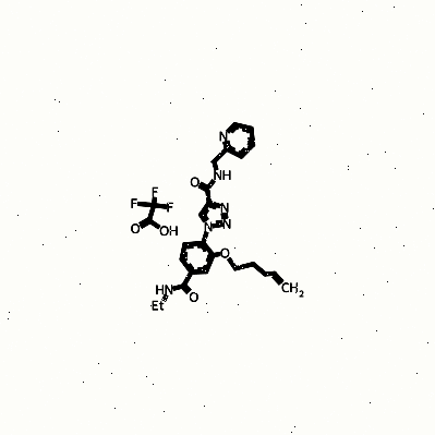 C=CCCCOc1cc(C(=O)NCC)ccc1-n1cc(C(=O)NCc2ccccn2)nn1.O=C(O)C(F)(F)F